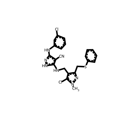 Cn1nc(CSc2ccccc2)c(CNc2[nH]nc(Nc3cccc(Cl)c3)c2C#N)c1Cl